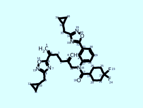 C=C(CCC(=C)c1nc(CC2CC2)no1)CN(C(=O)C1CCC(F)(F)CC1)c1cccc(-c2nc(CC3CC3)no2)c1